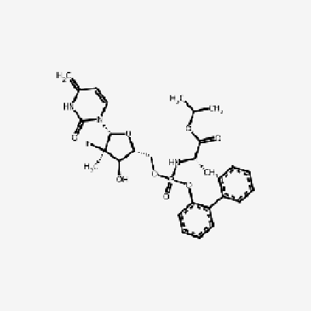 C=C1C=CN([C@@H]2O[C@H](COP(=O)(N[C@@H](C)C(=O)OC(C)C)Oc3ccccc3-c3ccccc3)[C@@H](O)[C@@]2(C)F)C(=O)N1